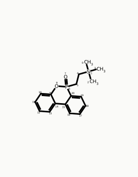 C[Si](C)(C)CCP1(=O)Oc2ccccc2-c2ccccc21